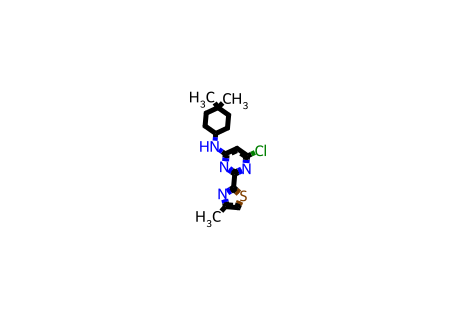 Cc1csc(-c2nc(Cl)cc(NC3CCC(C)(C)CC3)n2)n1